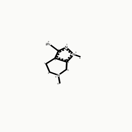 CC(C)c1nn(C)c2c1CCN(C)C2